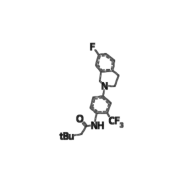 CC(C)(C)CC(=O)Nc1ccc(N2CCc3ccc(F)cc3C2)cc1C(F)(F)F